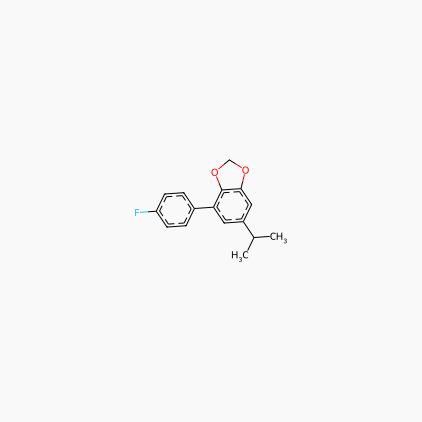 CC(C)c1cc2c(c(-c3ccc(F)cc3)c1)OCO2